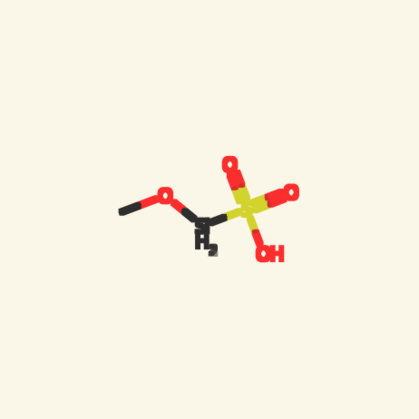 CO[SiH2]S(=O)(=O)O